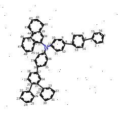 c1ccc(-c2ccc(-c3ccc(N(c4ccc(-c5ccc(-c6ccccc6)c(-c6ccccc6)c5)cc4)c4cc5ccccc5c5ccccc45)cc3)cc2)cc1